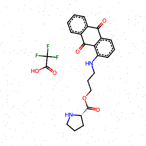 O=C(O)C(F)(F)F.O=C1c2ccccc2C(=O)c2c(NCCCOC(=O)[C@@H]3CCCN3)cccc21